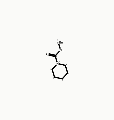 CCCC[N]C(=O)N1CCCCC1